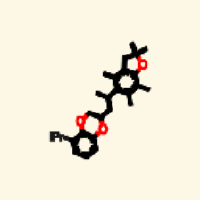 Cc1c(C)c(C(C)CC2COc3c(cccc3C(C)C)O2)c(C)c2c1OC(C)(C)C2